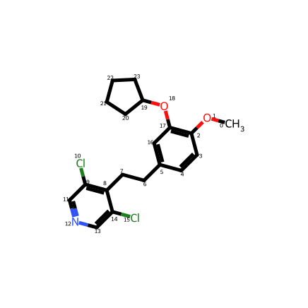 COc1ccc(CCc2c(Cl)cncc2Cl)cc1OC1CCCC1